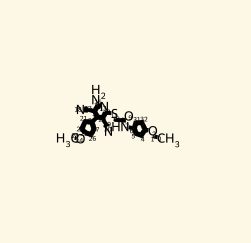 CCOc1ccc(NC(=O)CSc2nc(N)c(C#N)c(-c3ccc(OC)cc3)c2C#N)cc1